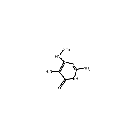 CNc1nc(N)[nH]c(=O)c1N